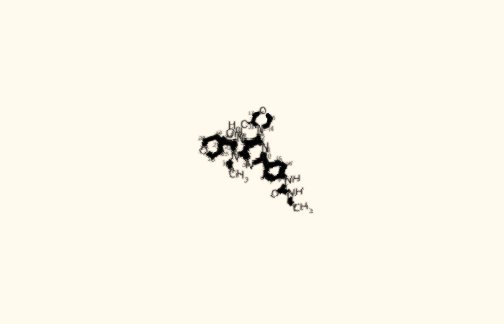 CCNC(=O)Nc1ccc(-c2nc(N3CCOC[C@@H]3C)c3nc(C4(O)CCOCC4)n(CC)c3n2)cc1